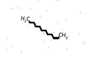 C/[C]=C\CCCCCCCCC